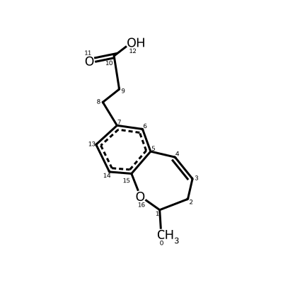 CC1CC=Cc2cc(CCC(=O)O)ccc2O1